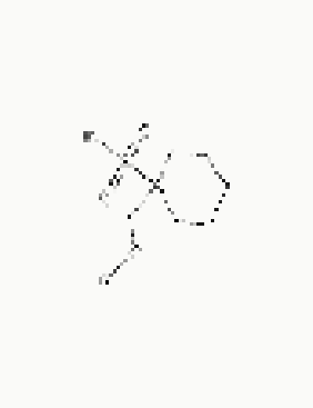 CCOCC1(S(=O)(=O)CC)CCCCC1